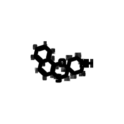 c1ccc2c3c(ccc2c1)SCC1(CCNCC1)O3